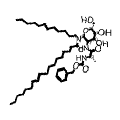 CCCCCCCCCCCCCCCCCC(=O)N(CCCCCCCCCCCC)[C@@H]1O[C@H](CO)[C@H](O)[C@H](O)[C@H]1NC(=O)[C@H](C)NC(=O)OCc1ccccc1